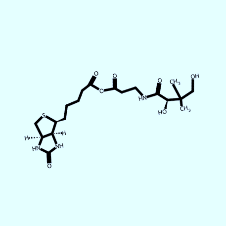 CC(C)(CO)[C@@H](O)C(=O)NCCC(=O)OC(=O)CCCC[C@@H]1SC[C@@H]2NC(=O)N[C@@H]21